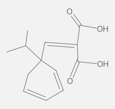 CC(C)C1(C=C(C(=O)O)C(=O)O)C=CC=CC1